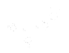 CC1(C)CCC(C)(C)c2cc(-c3csc(N4CCC(N(Cc5cc[nH]n5)Cc5cc[nH]n5)CC4)n3)ccc21